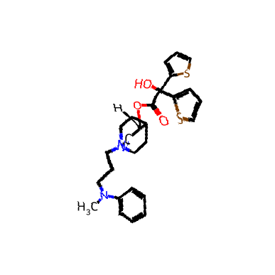 CN(CCC[N+]12CCC(CC1)[C@@H](OC(=O)C(O)(c1cccs1)c1cccs1)C2)c1ccccc1